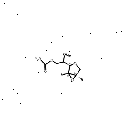 COC(COC(N)=O)[C@H]1OC[C@H]2O[C@H]12